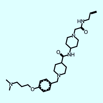 C=CCNC(=O)CN1CCC(NC(=O)C2CCN(Cc3ccc(OCCCN(C)C)cc3)CC2)CC1